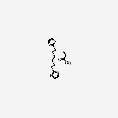 CCC(=O)O.c1csc(SSCCSSc2nccs2)n1